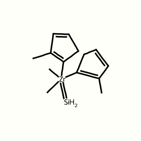 CC1=[C]([Zr]([CH3])([CH3])(=[SiH2])[C]2=C(C)C=CC2)CC=C1